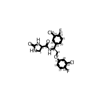 O=C1NCC(C(=O)N[C@H](COc2ccc(F)c(Cl)c2)c2ccc(F)c(Cl)c2)N1